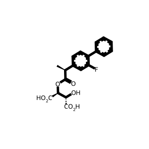 C[C@H](C(=O)O[C@H](C(=O)O)[C@H](O)C(=O)O)c1ccc(-c2ccccc2)c(F)c1